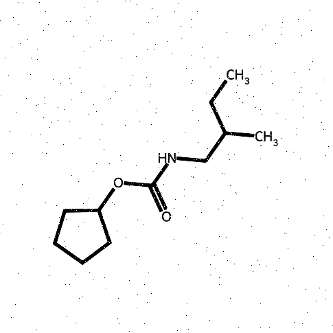 CCC(C)CNC(=O)OC1CCCC1